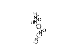 NC(=O)Nc1ccc(C(=O)N2CCC(N3CCCC3)CC2)cc1